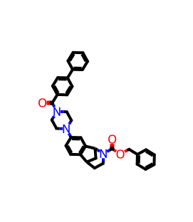 O=C(c1ccc(-c2ccccc2)cc1)N1CCN(c2ccc3c(c2)C2CC3CCN2C(=O)OCc2ccccc2)CC1